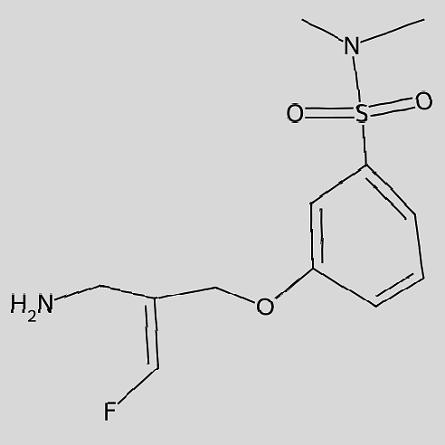 CN(C)S(=O)(=O)c1cccc(OCC(=CF)CN)c1